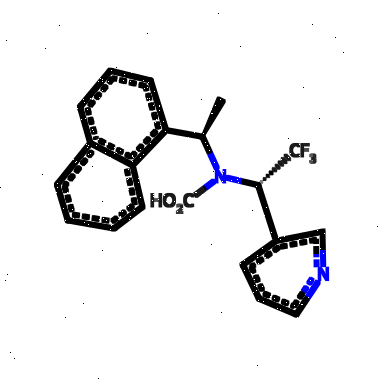 C[C@H](c1cccc2ccccc12)N(C(=O)O)[C@@H](c1cccnc1)C(F)(F)F